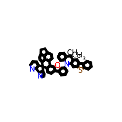 CC1(C)c2ccccc2N(c2cccc3c2oc2c4c(ccc23)C2(c3cccnc3-c3ncccc32)c2ccc3c5c(ccc-4c25)CC3)c2cc3sc4ccccc4c3cc21